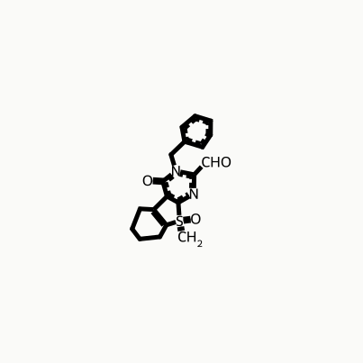 C=S1(=O)C2=C(CCCC2)c2c1nc(C=O)n(Cc1ccccc1)c2=O